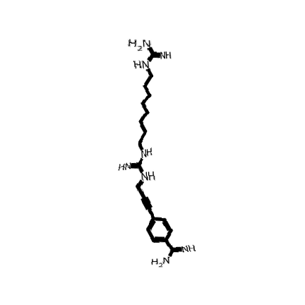 N=C(N)NCCCCCCCCNC(=N)NCC#Cc1ccc(C(=N)N)cc1